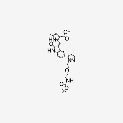 COC(=O)c1cc(C)[nH]c1/C=C1\C(=O)Nc2ccc(-c3ccnn3CCOCCNC(=O)OC(C)(C)C)cc21